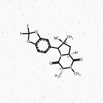 C[C@@H]1C(=O)N2C(c3ccc4c(c3)OC(F)(F)O4)[C@@](C)(C#N)C[C@H]2C(=O)N1C